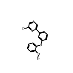 CCOc1ccccc1Oc1cccc(-c2cncc(Cl)n2)c1